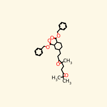 CC1(C)OC1CCC1(C)OC1CCC1CCC(C(=O)OCc2ccccc2)C(C(=O)OCc2ccccc2)C1